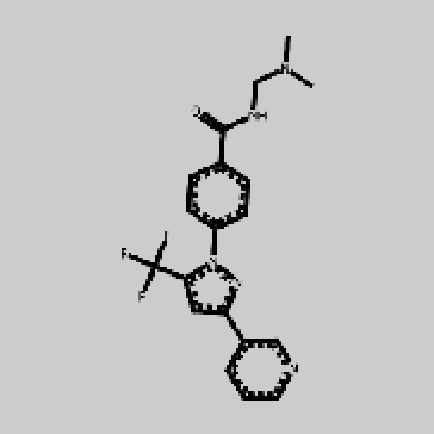 CN(C)CNC(=O)c1ccc(-n2nc(-c3cccnc3)cc2C(F)(F)F)cc1